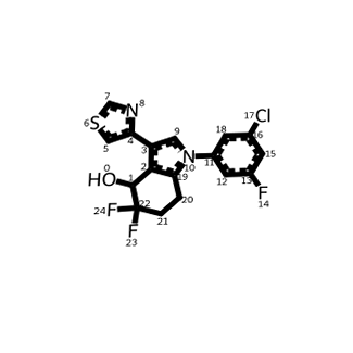 OC1c2c(-c3cscn3)cn(-c3cc(F)cc(Cl)c3)c2CCC1(F)F